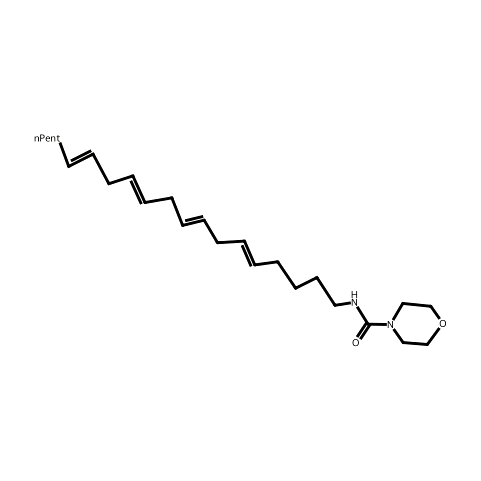 CCCCCC=CCC=CCC=CCC=CCCCCNC(=O)N1CCOCC1